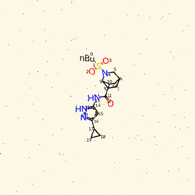 CCCCS(=O)(=O)N1CC2CCC1C(C(=O)Nc1cc(C3CC3)n[nH]1)C2